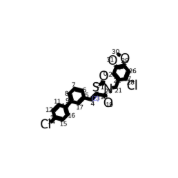 O=C1S/C(=C\c2cccc(-c3ccc(Cl)cc3)c2)C(=O)N1Cc1cc2c(cc1Cl)OCO2